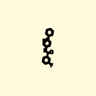 O=C(/N=c1\ccn(-c2ccccc2)nc1)c1cccc(F)c1